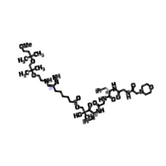 COCCC(C)(C)OCC(C)(C)OCCN/C=C(/CCCCCS(=O)OCC(C)(O)C(=O)[C@H](CC(C)C)NC(=O)CNC(=O)[C@H](CC(C)C)NC(=O)CNC(=O)CN1CCOCC1)N=N